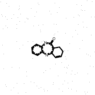 O=c1nc2ccccc2nc2c1CCC=C2